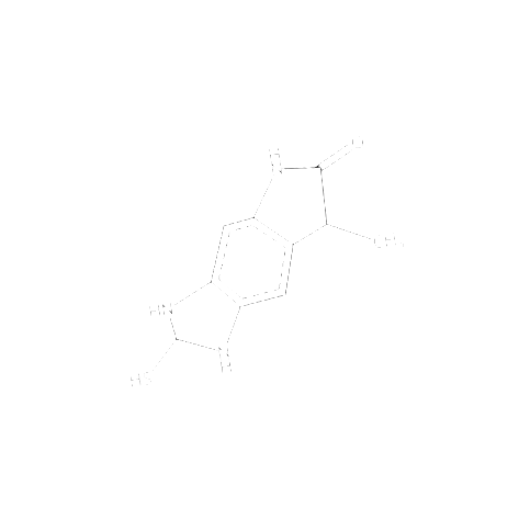 CC1C(=O)Nc2cc3c(cc21)NC(S)N3